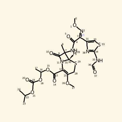 CO/N=C(\C(=O)NC1(C)C(=O)N2C(C(=O)OC(C)OC(=O)OC(C)C)=C(OC)CS[C@H]21)c1csc(NC=O)n1